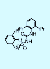 CC(C)c1cccc(C(C)C)c1NC(=O)NS(=O)(=O)Oc1c(C(C)C)cccc1C(C)C